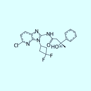 C[C@@](O)(CC(=O)Nc1nc2ccc(Cl)nc2n1C1CC(F)(F)C1)c1ccccc1